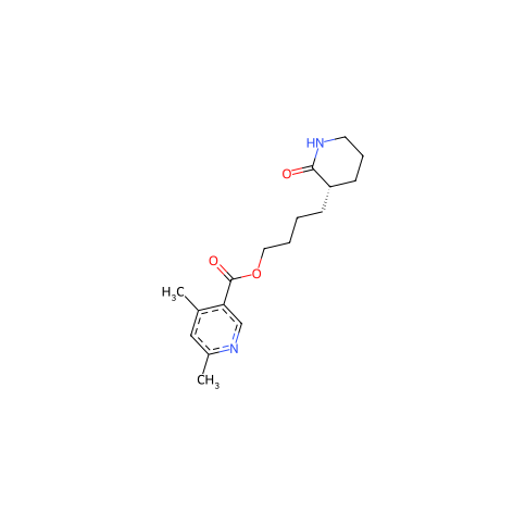 Cc1cc(C)c(C(=O)OCCCC[C@H]2CCCNC2=O)cn1